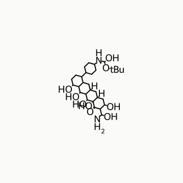 CC(C)(C)OC(O)NC1CCC(C2CCC(O)C3C(O)C4C(O)[C@]5(O)C(=O)C(C(N)O)C(O)C[C@@H]5C[C@@H]4CC23)CC1